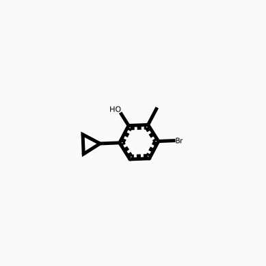 Cc1c(Br)ccc(C2CC2)c1O